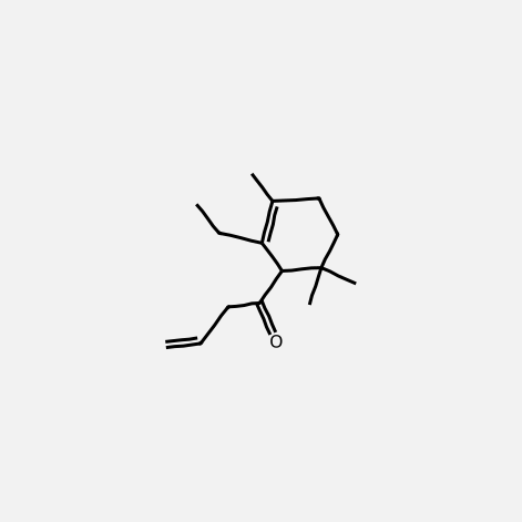 C=CCC(=O)C1C(CC)=C(C)CCC1(C)C